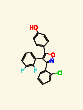 Oc1ccc(-c2onc(-c3ccccc3Cl)c2-c2cccc(F)c2F)cc1